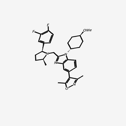 CO[C@H]1CC[C@H](n2c(CN3[C@@H](C)CC[C@H]3c3ccc(F)c(F)c3)nc3cc(-c4c(C)noc4C)ccc32)CC1